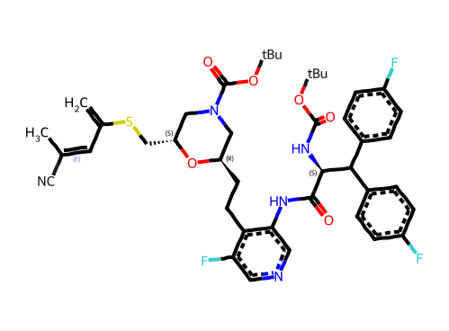 C=C(/C=C(\C)C#N)SC[C@@H]1CN(C(=O)OC(C)(C)C)C[C@@H](CCc2c(F)cncc2NC(=O)[C@@H](NC(=O)OC(C)(C)C)C(c2ccc(F)cc2)c2ccc(F)cc2)O1